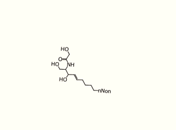 CCCCCCCCCCCCCC=CC(O)C(CO)NC(=O)CO